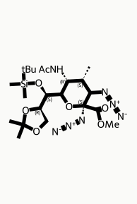 COC(=O)[C@@]1(N=[N+]=[N-])OC([C@H](O[Si](C)(C)C(C)(C)C)[C@H]2COC(C)(C)O2)[C@H](NC(C)=O)[C@H](C)C1N=[N+]=[N-]